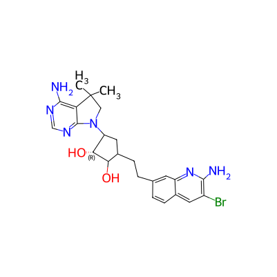 CC1(C)CN(C2CC(CCc3ccc4cc(Br)c(N)nc4c3)C(O)[C@@H]2O)c2ncnc(N)c21